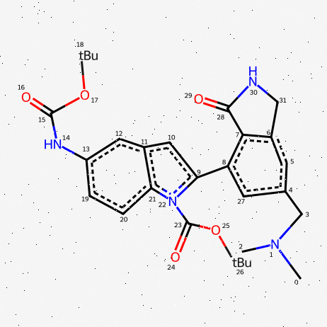 CN(C)Cc1cc2c(c(-c3cc4cc(NC(=O)OC(C)(C)C)ccc4n3C(=O)OC(C)(C)C)c1)C(=O)NC2